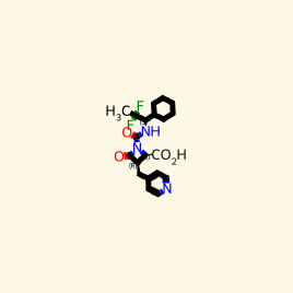 CC(F)(F)[C@@H](NC(=O)N1C(=O)[C@H](Cc2ccncc2)[C@H]1C(=O)O)C1CCCCC1